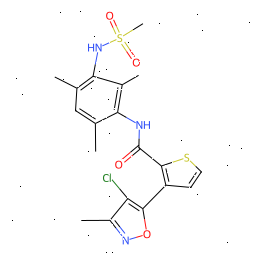 Cc1cc(C)c(NS(C)(=O)=O)c(C)c1NC(=O)c1sccc1-c1onc(C)c1Cl